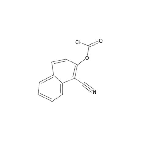 N#Cc1c(OC(=O)Cl)ccc2ccccc12